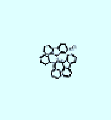 [Cl-].[Cl-].c1ccc([SiH](c2ccccc2)[Zr+2]([CH]2c3ccccc3-c3ccccc32)[CH]2c3ccccc3-c3ccccc32)cc1